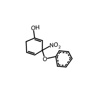 O=[N+]([O-])C1(Oc2ccccc2)C=CCC(O)=C1